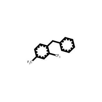 FC(F)(F)c1ccc([CH]c2ccccc2)c(C(F)(F)F)c1